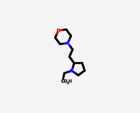 O=C(O)CN1CCCC1CCN1CCOCC1